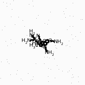 C[C@H](CCCN(CCCN)CCCN)C1CC[C@H]2C3[C@H](OCCCN)CC4C[C@H](OCCCN)CCC4(C)[C@H]3C[C@H](OCCCN)C12C